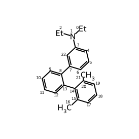 CCN(CC)c1cccc(-c2ccccc2-c2c(C)cccc2C)c1